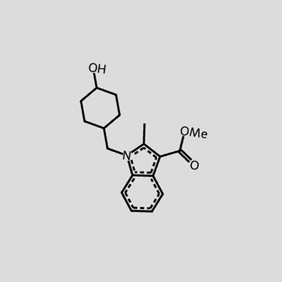 COC(=O)c1c(C)n(CC2CCC(O)CC2)c2ccccc12